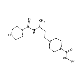 CC(C)NC(=O)N1CCN(CCC(C)NC(=O)N2CCNCC2)CC1